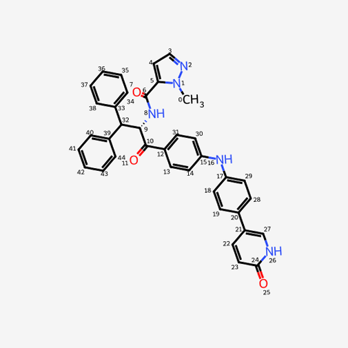 Cn1nccc1C(=O)N[C@H](C(=O)c1ccc(Nc2ccc(-c3ccc(=O)[nH]c3)cc2)cc1)C(c1ccccc1)c1ccccc1